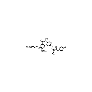 COCCCOc1cc(C(=O)N(C(C)C)[C@@H]2CC[C@H](CCN(C(=O)Cc3ccc(F)cc3)C3CC3)NC2)ccc1OC